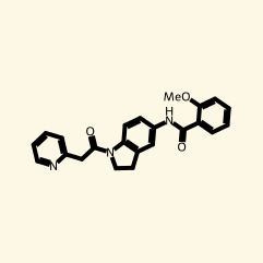 COc1ccccc1C(=O)Nc1ccc2c(c1)CCN2C(=O)Cc1ccccn1